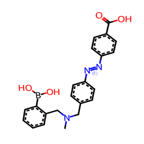 CN(Cc1ccc(/N=N/c2ccc(C(=O)O)cc2)cc1)Cc1ccccc1B(O)O